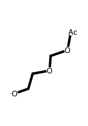 CC(=O)OCOCC[O]